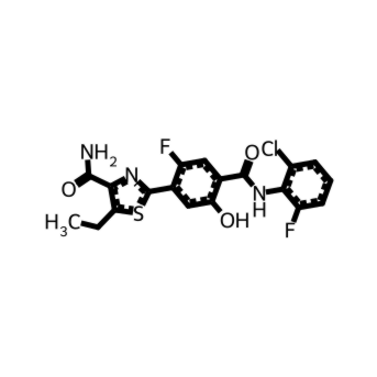 CCc1sc(-c2cc(O)c(C(=O)Nc3c(F)cccc3Cl)cc2F)nc1C(N)=O